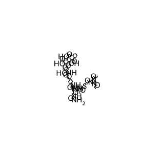 C=CC(=O)N1CN(C(=O)C=C)CN(C(=O)CCSCC(=O)N[C@H](C(=O)N[C@@H](CCCNC(N)=O)C(=O)Nc2ccc(COC(=O)N[C@H]3C[C@H](O[C@H]4C[C@](O)(C(C)=O)Cc5c(O)c6c(c(O)c54)C(=O)c4ccccc4C6=O)O[C@@H](C)[C@H]3O)cc2)C(C)C)C1